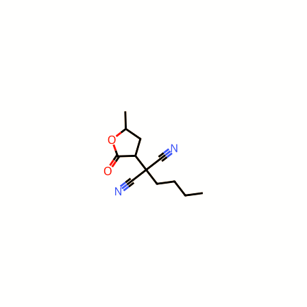 CCCCC(C#N)(C#N)C1CC(C)OC1=O